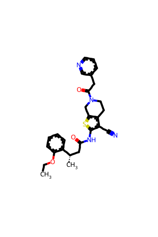 CCOc1ccccc1[C@@H](C)CC(=O)Nc1sc2c(c1C#N)CCN(C(=O)Cc1cccnc1)C2